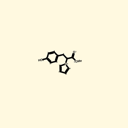 COC(=O)C(Cc1ccc(O)cc1)n1cccc1